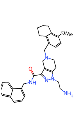 COc1ccc(CN2CCc3c(c(C(=O)NCc4cccc5ccccc45)nn3CCN)C2)c2c1CCCC2